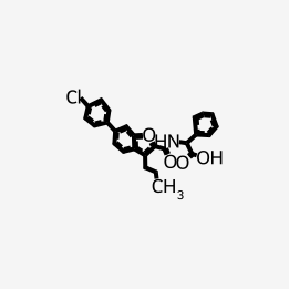 CCCc1c(C(=O)NC(C(=O)O)c2ccccc2)oc2cc(-c3ccc(Cl)cc3)ccc12